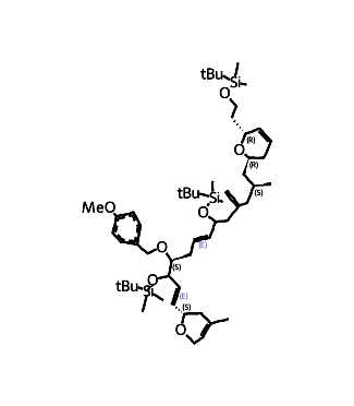 C=C(CC(/C=C/C[C@H](OCc1ccc(OC)cc1)C(/C=C/[C@@H]1CC(C)=CCO1)O[Si](C)(C)C(C)(C)C)O[Si](C)(C)C(C)(C)C)C[C@H](C)C[C@@H]1CC=C[C@@H](CCO[Si](C)(C)C(C)(C)C)O1